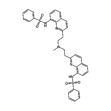 CN(CCc1ccc2cccc(NS(=O)(=O)c3ccccc3)c2n1)CCc1ccc2cccc(NS(=O)(=O)c3ccccc3)c2n1